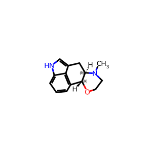 CN1CCO[C@@H]2c3cccc4[nH]cc(c34)C[C@H]21